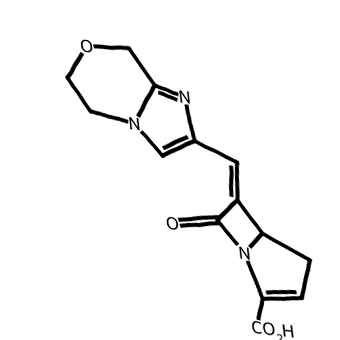 O=C(O)C1=CCC2C(=Cc3cn4c(n3)COCC4)C(=O)N12